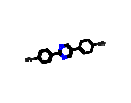 CCCc1ccc(-c2ncc(C3=CCC(CCC)CC3)cn2)cc1